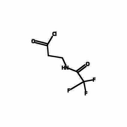 O=C(Cl)CCNC(=O)C(F)(F)F